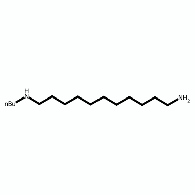 CCCCNCCCCCCCCCCCN